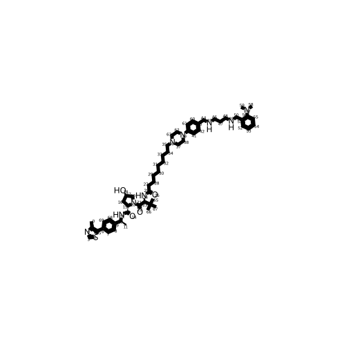 Cc1ncsc1-c1ccc([C@H](C)NC(=O)[C@@H]2C[C@@H](O)CN2C(=O)[C@@H](NC(=O)CCCCCCCCCN2CCN(c3ccc(CNCCCNCc4ccccc4N(C)C)cc3)CC2)C(C)(C)C)cc1